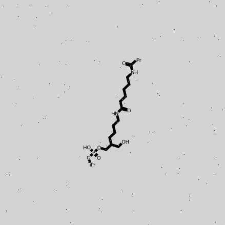 CC(C)OP(=O)(O)OCC(CO)CCCCNC(=O)CCCCCNC(=O)C(C)C